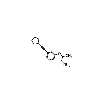 CC(CN)Oc1cccc(C#CC2CCCC2)c1